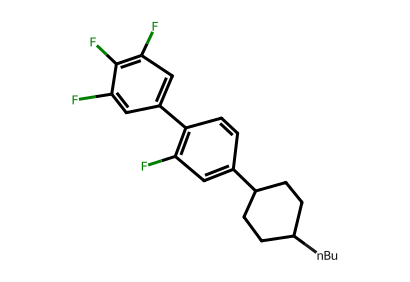 CCCCC1CCC(c2ccc(-c3cc(F)c(F)c(F)c3)c(F)c2)CC1